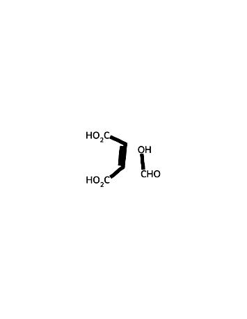 O=C(O)/C=C\C(=O)O.O=CO